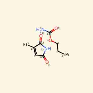 CC(C)CCOC(N)=O.CCC1=CC(=O)NC1=O